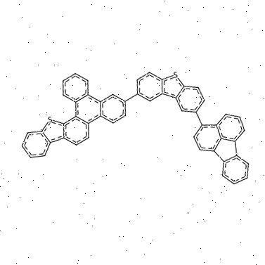 c1ccc2c(c1)-c1cccc3c(-c4ccc5sc6ccc(-c7ccc8c(c7)c7ccccc7c7c8ccc8c9ccccc9sc87)cc6c5c4)ccc-2c13